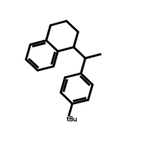 CC(c1ccc(C(C)(C)C)cc1)C1CCCc2ccccc21